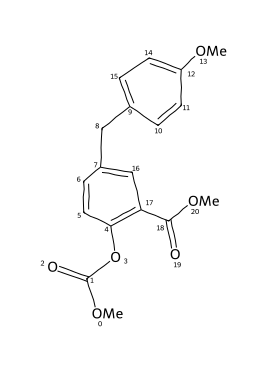 COC(=O)Oc1ccc(Cc2ccc(OC)cc2)cc1C(=O)OC